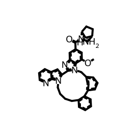 COc1cc(C(=O)N2CC3CCC2[C@@H]3N)cc2nc3n(c12)Cc1cccc(c1)-c1ccccc1CCCCn1c-3cc2cccnc21